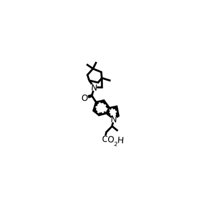 CC(CC(=O)O)n1ccc2cc(C(=O)N3CC4(C)CC3CC(C)(C)C4)ccc21